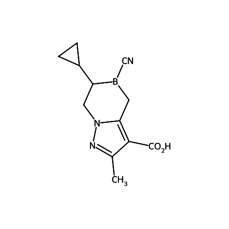 Cc1nn2c(c1C(=O)O)CB(C#N)C(C1CC1)C2